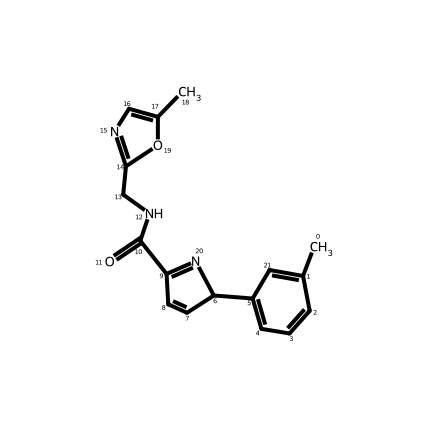 Cc1cccc(C2C=CC(C(=O)NCc3ncc(C)o3)=N2)c1